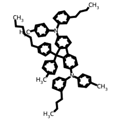 CCCCCCc1ccc(C2(c3ccc(C)cc3)c3cc(N(c4ccc(C)cc4)c4cccc(CCCC)c4)ccc3-c3ccc(N(c4ccc(C)cc4)c4cccc(CCCC)c4)cc32)cc1